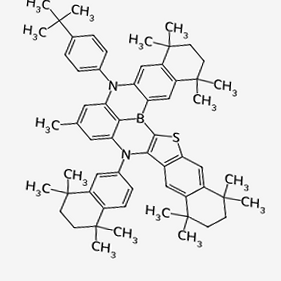 Cc1cc2c3c(c1)N(c1ccc4c(c1)C(C)(C)CCC4(C)C)c1c(sc4cc5c(cc14)C(C)(C)CCC5(C)C)B3c1cc3c(cc1N2c1ccc(C(C)(C)C)cc1)C(C)(C)CCC3(C)C